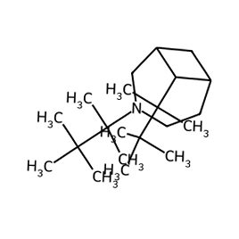 CC(C)(C)C(C)(C)C1C2CCN(C(C)(C)C(C)(C)C)CC1C2